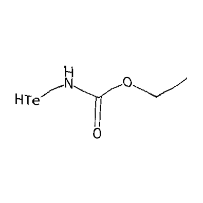 CCOC(=O)N[TeH]